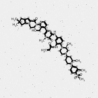 C=CC(=O)Nc1cc(Nc2nc(-c3ccnc(N4CCn5c(cc6c5CC(C)(C)C6)C4=O)c3CO)cn(C)c2=O)ccc1N1CCN(C2CCN(c3ccc(S(C)(=O)=O)c(C)c3)[C@H](C)C2)C[C@@H]1C